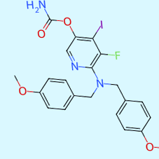 COc1ccc(CN(Cc2ccc(OC)cc2)c2ncc(OC(N)=O)c(I)c2F)cc1